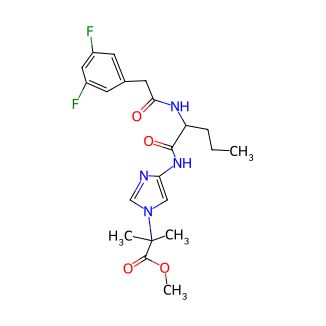 CCCC(NC(=O)Cc1cc(F)cc(F)c1)C(=O)Nc1cn(C(C)(C)C(=O)OC)cn1